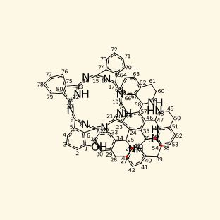 Oc1cccc2c1-c1nc-2nc2[nH]c(nc3nc(nc4[nH]c(n1)c1c(C5NCCc6ccccc65)c(C5NCCc6ccccc65)c(C5NCCc6ccccc65)c(C5NCCc6ccccc65)c41)-c1ccccc1-3)c1ccccc21